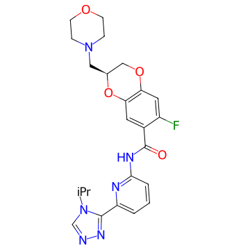 CC(C)n1cnnc1-c1cccc(NC(=O)c2cc3c(cc2F)OC[C@H](CN2CCOCC2)O3)n1